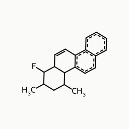 CC1CC(C)C2c3ccc4ccccc4c3C=CC2C1F